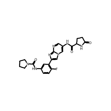 O=C1CCC(C(=O)Nc2cnc3nc(-c4cc(NC(=O)N5CCCC5)ccc4F)cn3c2)N1